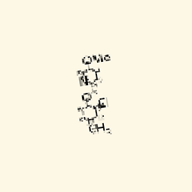 COc1ccc(COc2ccc(C)cc2Cl)nc1